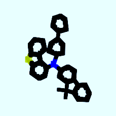 CC1(C)c2ccccc2-c2ccc(N(c3ccc(-c4ccccc4)cc3)c3cccc4sc5ccccc5c34)cc21